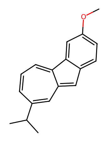 COc1ccc2cc3cc(C(C)C)cccc-3c2c1